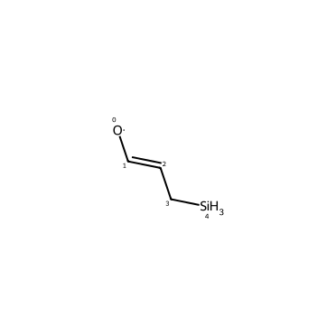 [O]C=CC[SiH3]